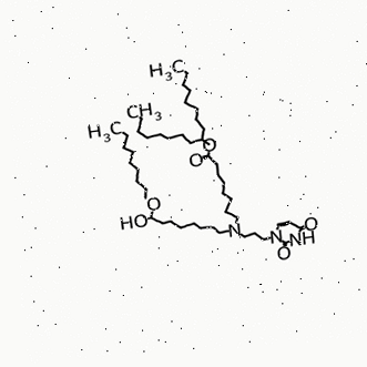 CCCCCCCCCO[C@H](O)CCCCCCCN(CCCCCCCC(=O)OC(CCCCCCCC)CCCCCCCC)CCCn1ccc(=O)[nH]c1=O